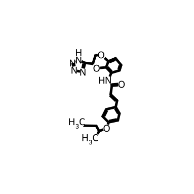 CCCC(C)Oc1ccc(C=CC(=O)Nc2cccc3c2OC(c2nnn[nH]2)CO3)cc1